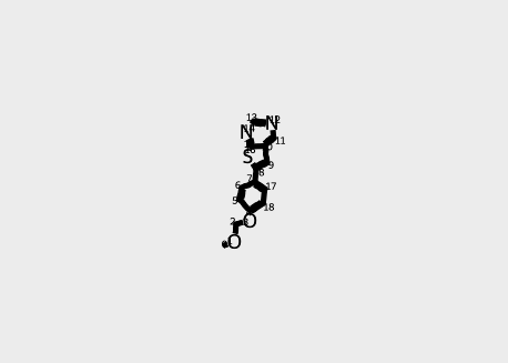 COCOc1ccc(-c2cc3cncnc3s2)cc1